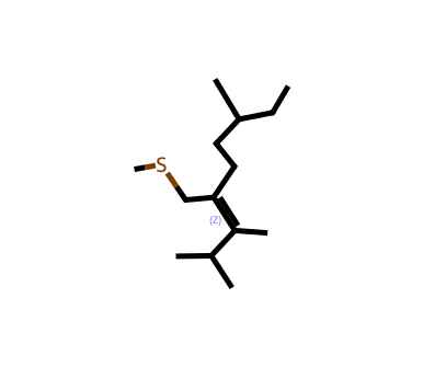 CCC(C)CC/C(CSC)=C(\C)C(C)C